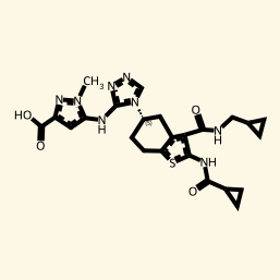 Cn1nc(C(=O)O)cc1Nc1nncn1[C@H]1CCc2sc(NC(=O)C3CC3)c(C(=O)NCC3CC3)c2C1